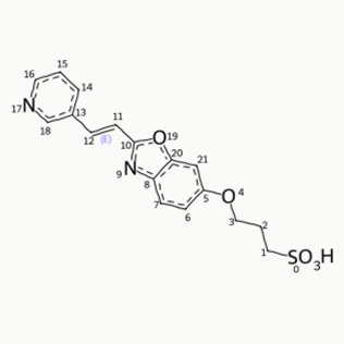 O=S(=O)(O)CCCOc1ccc2nc(/C=C/c3cccnc3)oc2c1